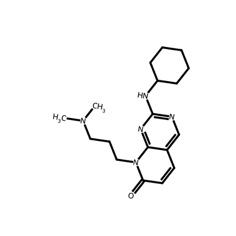 CN(C)CCCn1c(=O)ccc2cnc(NC3CCCCC3)nc21